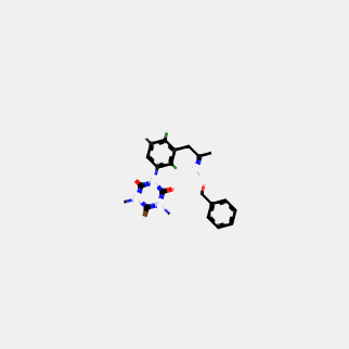 CC(Cc1c(Cl)c(C(=O)O)cc(-n2c(=O)n(C)c(=S)n(C)c2=O)c1Cl)=NOCc1ccccc1